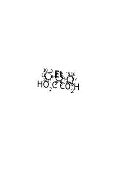 CCC(C(C(=O)O)=C(C(=O)O)C(CC)c1ccccc1)c1ccccc1